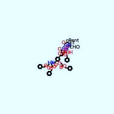 CCCCC[C@@H](C(=O)NCNC(=O)c1ccc(-c2ccc(C(=O)N[C@@H](CC(=O)OCc3ccccc3)C(=O)OCc3ccccc3)c(OCC(=O)OCc3ccccc3)c2)o1)[C@@H](CC)N(C=O)OCOP(=O)(O)OCc1ccccc1